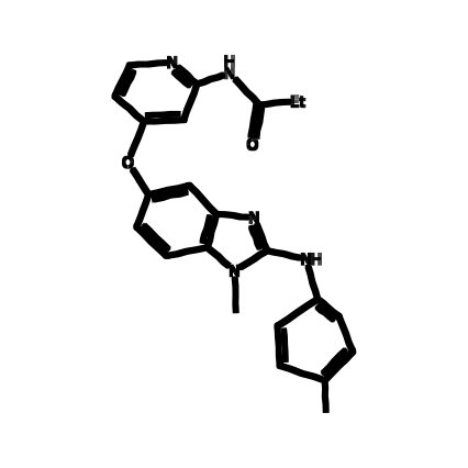 CCC(=O)Nc1cc(Oc2ccc3c(c2)nc(Nc2ccc(C)cc2)n3C)ccn1